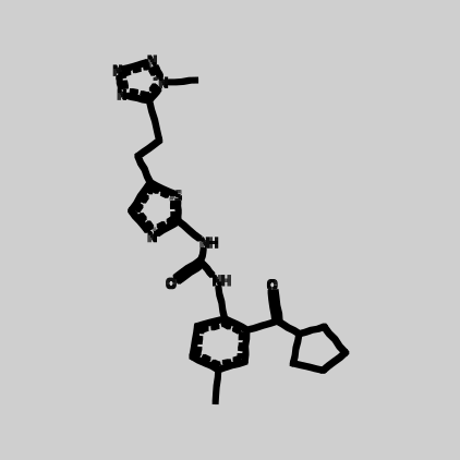 Cc1ccc(NC(=O)Nc2ncc(CCc3nnnn3C)s2)c(C(=O)C2CCCC2)c1